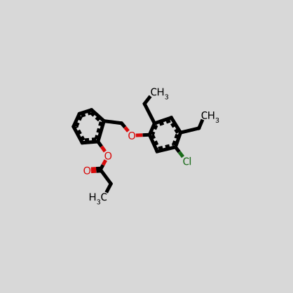 CCC(=O)Oc1ccccc1COc1cc(Cl)c(CC)cc1CC